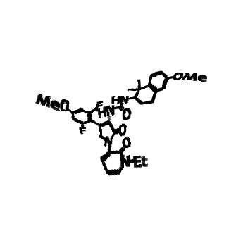 CCn1cccc(N2C[C@@H](c3c(F)cc(OC)cc3F)[C@H](NC(=O)NC3CCc4cc(OC)ccc4C3(C)C)C2=O)c1=O